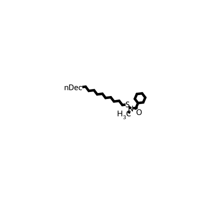 CCCCCCCCCCCCCCCCCCCCSN(C)C(=O)C1CCCCC1